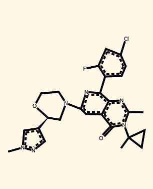 Cc1nc2c(-c3ccc(Cl)cc3F)nc(N3CCO[C@H](c4cnn(C)c4)C3)cc2c(=O)n1C1(C)CC1